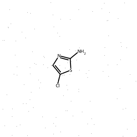 Nc1n[c]c(Cl)s1